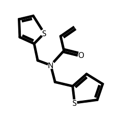 C=CC(=O)N(Cc1cccs1)Cc1cccs1